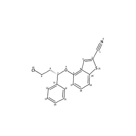 N#Cc1cc2c(O[C@@H](CCCl)c3ccccc3)cccc2s1